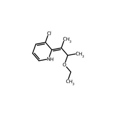 CCOC(C)/C(C)=C1\NC=CC=C1Cl